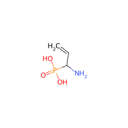 C=CC(N)P(=O)(O)O